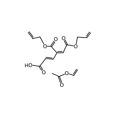 C=CCOC(=O)/C=C(/C=CC(=O)O)C(=O)OCC=C.C=COC(C)=O